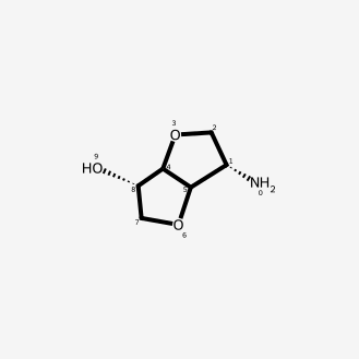 N[C@H]1COC2C1OC[C@@H]2O